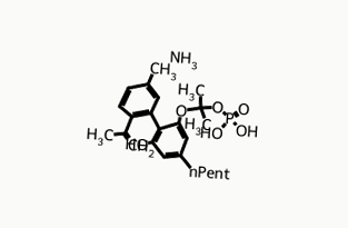 C=C(C)c1ccc(C)cc1-c1c(O)cc(CCCCC)cc1OC(C)(C)OP(=O)(O)O.N